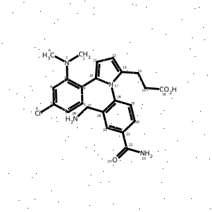 CN(C)c1cc(Cl)ccc1-c1ccc(CCC(=O)O)n1-c1ccc(C(N)=O)cc1CN